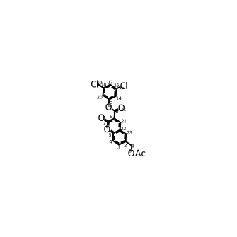 CC(=O)OCc1ccc2oc(=O)c(C(=O)Oc3cc(Cl)cc(Cl)c3)cc2c1